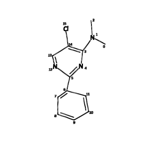 CN(C)c1nc(-c2ccccc2)ncc1Cl